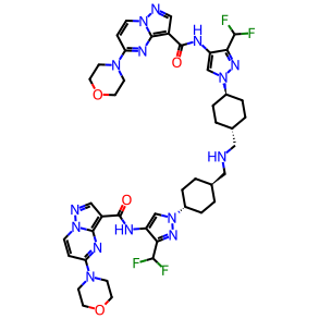 O=C(Nc1cn([C@H]2CC[C@H](CNC[C@H]3CC[C@H](n4cc(NC(=O)c5cnn6ccc(N7CCOCC7)nc56)c(C(F)F)n4)CC3)CC2)nc1C(F)F)c1cnn2ccc(N3CCOCC3)nc12